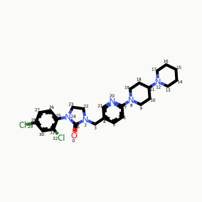 O=C1N(Cc2ccc(N3CCC(N4CCCCC4)CC3)nc2)CCN1c1ccc(Cl)cc1Cl